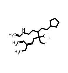 C=CNCCC(CCC1CCCC1)C(C)(CF)C/C=C(\C=C)CC